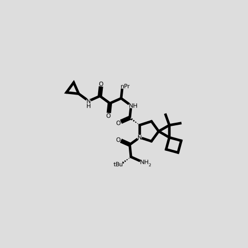 CCCC(NC(=O)[C@@H]1CC2(CN1C(=O)[C@H](N)C(C)(C)C)C(C)(C)C21CCC1)C(=O)C(=O)NC1CC1